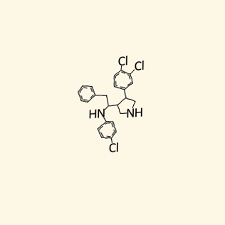 Clc1ccc(NC(Cc2ccccc2)C2CNCC2c2ccc(Cl)c(Cl)c2)cc1